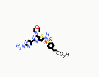 Nc1ncc(-c2nc(N3CCOCC3)c3sc(NS(=O)(=O)c4ccc(/C=C/C(=O)O)cc4)cc3n2)cn1